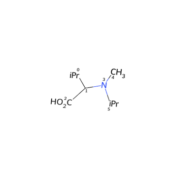 CC(C)C(C(=O)O)N(C)C(C)C